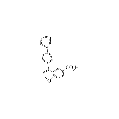 O=C(O)c1ccc2c(c1)C(c1ccc(-c3ccccc3)cc1)=CCO2